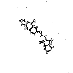 CCC1=Nc2ccc(OCCN3C(=O)c4ccccc4C3=O)cc2C(=O)C1